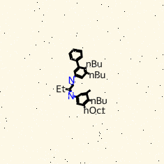 CCCCCCCCc1cc(N=C(C=Nc2cc(CCCC)c(CCCC)c(-c3ccccc3)c2)CC)cc(C)c1CCCC